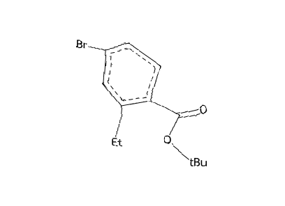 CCc1cc(Br)ccc1C(=O)OC(C)(C)C